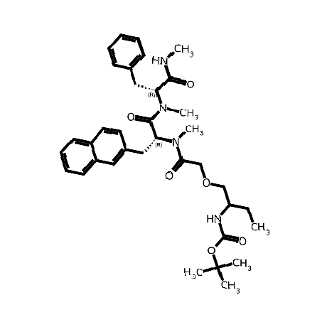 CCC(COCC(=O)N(C)[C@H](Cc1ccc2ccccc2c1)C(=O)N(C)[C@H](Cc1ccccc1)C(=O)NC)NC(=O)OC(C)(C)C